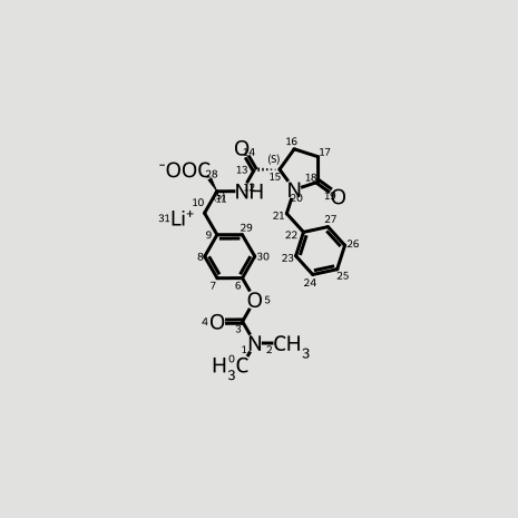 CN(C)C(=O)Oc1ccc(C[C@H](NC(=O)[C@@H]2CCC(=O)N2Cc2ccccc2)C(=O)[O-])cc1.[Li+]